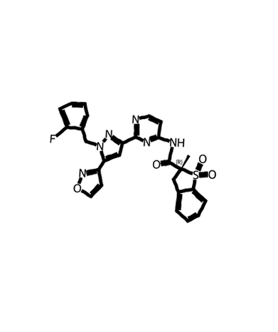 C[C@]1(C(=O)Nc2ccnc(-c3cc(-c4ccon4)n(Cc4ccccc4F)n3)n2)Cc2ccccc2S1(=O)=O